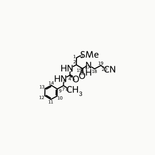 CSCC(NC(=O)NC(C)c1ccccc1)C(=O)NCCC#N